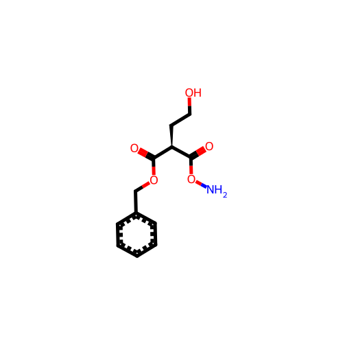 NOC(=O)[C@H](CCO)C(=O)OCc1ccccc1